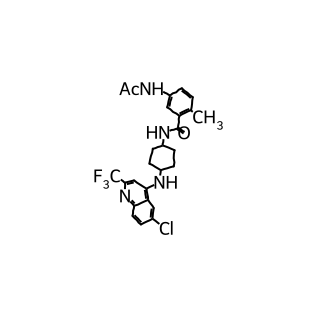 CC(=O)Nc1ccc(C)c(C(=O)NC2CCC(Nc3cc(C(F)(F)F)nc4ccc(Cl)cc34)CC2)c1